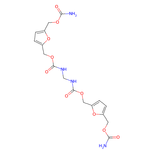 NC(=O)OCc1ccc(COC(=O)NCNC(=O)OCc2ccc(COC(N)=O)o2)o1